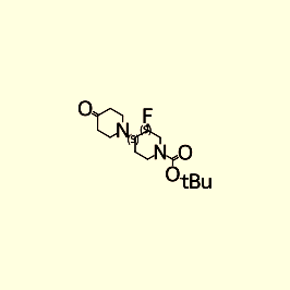 CC(C)(C)OC(=O)N1CC[C@H](N2CCC(=O)CC2)[C@@H](F)C1